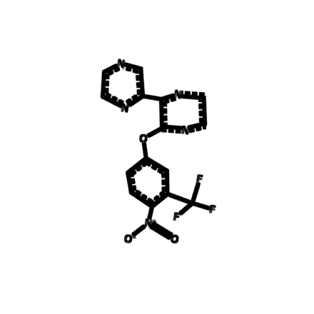 O=[N+]([O-])c1ccc(Oc2nccnc2-c2cnccn2)cc1C(F)(F)F